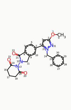 COc1cc(-c2ccc3c(c2)CN(N2C(=O)CCCC2=O)C3=O)n(Cc2ccccc2)n1